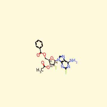 CC(=O)O[C@H]1[C@@H](F)[C@H](n2cnc3c(N)nc(F)nc32)O[C@@H]1COC(=O)c1ccccc1